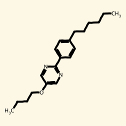 CCCCCCc1ccc(-c2ncc(OCCCC)cn2)cc1